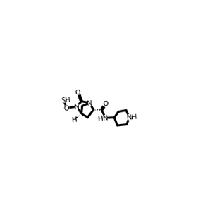 O=C(NC1CCNCC1)[C@@H]1C[C@@H]2CN1C(=O)N2OS